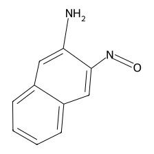 Nc1cc2ccccc2cc1N=O